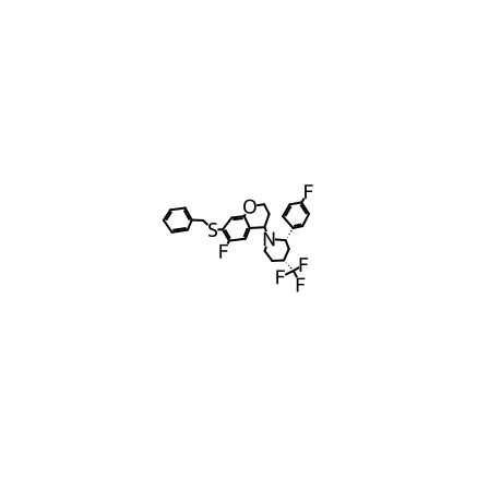 Fc1ccc([C@@H]2C[C@H](C(F)(F)F)CCN2C2CCOc3cc(SCc4ccccc4)c(F)cc32)cc1